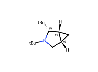 CC(C)(C)[C@@H]1[C@@H]2C[C@@H]2CN1C(C)(C)C